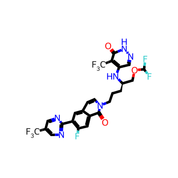 O=c1[nH]ncc(N[C@H](CCCn2ccc3cc(-c4ncc(C(F)(F)F)cn4)c(F)cc3c2=O)COC(F)F)c1C(F)(F)F